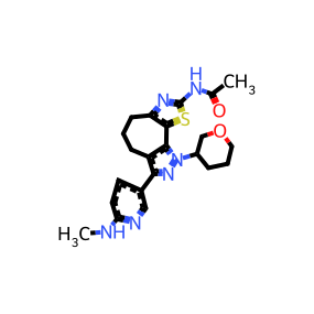 CNc1ccc(-c2nn(C3CCCOC3)c3c2CCCc2nc(NC(C)=O)sc2-3)cn1